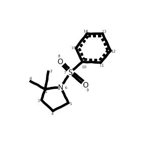 CC1(C)CCCN1S(=O)(=O)c1ccccc1